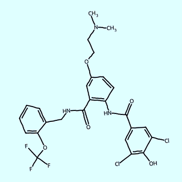 CN(C)CCOc1ccc(NC(=O)c2cc(Cl)c(O)c(Cl)c2)c(C(=O)NCc2ccccc2OC(F)(F)F)c1